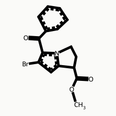 COC(=O)C1CCn2c1cc(Br)c2C(=O)c1ccccc1